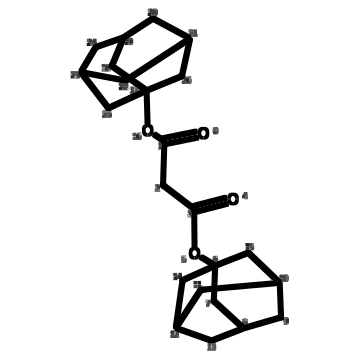 O=C(CC(=O)OC12CC3CC(CC(C3)C1)C2)OC12CC3CC(CC(C3)C1)C2